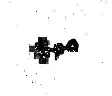 CC(CCc1ccc(-c2ccccc2)cc1F)(C(=O)NO)S(C)(=O)=O